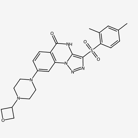 Cc1ccc(S(=O)(=O)c2nnn3c2[nH]c(=O)c2ccc(N4CCN(C5COC5)CC4)cc23)c(C)c1